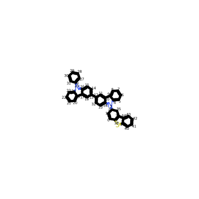 C1=CC(n2c3ccccc3c3cc(-c4ccc5c(c4)c4ccccc4n5-c4ccccc4)ccc32)Cc2c1sc1ccccc21